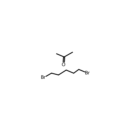 BrCCCCCBr.CC(C)=O